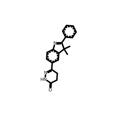 CC1(C)C(c2ccccc2)=Nc2ccc(C3=NNC(=O)CC3)cc21